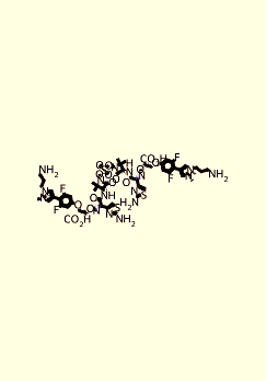 C[n+]1cc(-c2c(F)cc(OC[C@H](O/N=C(\C(=O)N[C@@H]3C(=O)N(OS(=O)(=O)ON4C(=O)[C@@H](NC(=O)/C(=N\O[C@@H](COc5cc(F)c(-c6cn(CCCN)[n+](C)c6)c(F)c5)C(=O)O)c5csc(N)n5)C4(C)C)C3(C)C)c3csc(N)n3)C(=O)O)cc2F)cn1CCCN